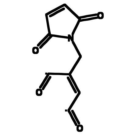 O=[C]/C=C(\[C]=O)CN1C(=O)C=CC1=O